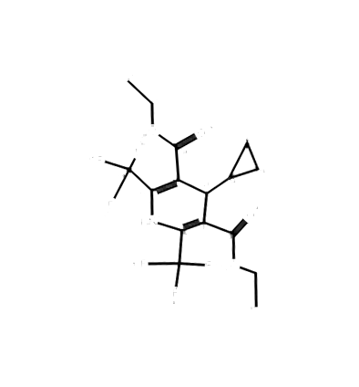 CCOC(=O)C1=C(C(F)(F)F)NC(C(F)(F)F)=C(C(=O)OCC)C1C1CC1